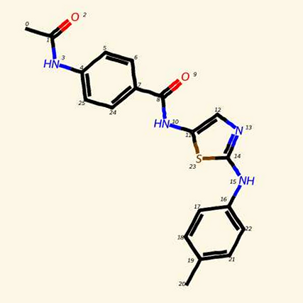 CC(=O)Nc1ccc(C(=O)Nc2cnc(Nc3ccc(C)cc3)s2)cc1